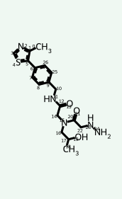 Cc1ncsc1-c1ccc(CNC(=O)CN(CC(C)O)C(=O)CNN)cc1